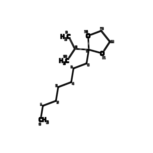 CCCCCCCC1(C(C)C)OCCO1